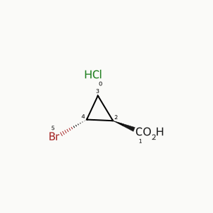 Cl.O=C(O)[C@@H]1C[C@H]1Br